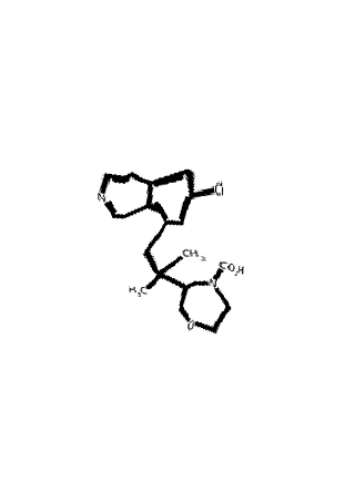 CC(C)(Cc1cc(Cl)cc2ccncc12)C1COCCN1C(=O)O